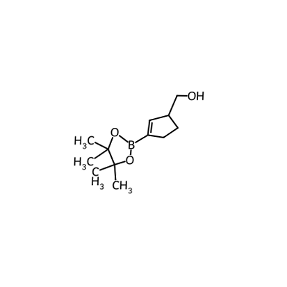 CC1(C)OB(C2=CC(CO)CC2)OC1(C)C